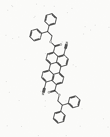 N#Cc1ccc2c3ccc(C(=O)OCC(c4ccccc4)c4ccccc4)c4c(C#N)ccc(c5ccc(C(=O)OCC(c6ccccc6)c6ccccc6)c1c25)c43